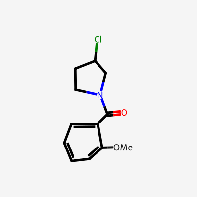 COc1ccccc1C(=O)N1CCC(Cl)C1